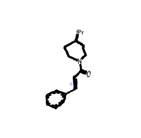 CC(C)C1CCN(C(=O)/C=C/c2ccccc2)CC1